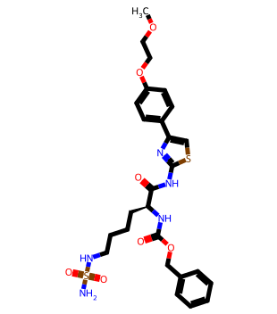 COCCOc1ccc(-c2csc(NC(=O)[C@H](CCCCNS(N)(=O)=O)NC(=O)OCc3ccccc3)n2)cc1